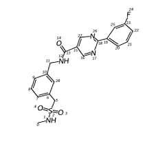 CNS(=O)(=O)Cc1cccc(CNC(=O)c2cnc(-c3cccc(F)c3)nc2)c1